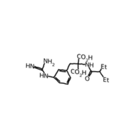 CCC(CC)C(=O)NC(Cc1cccc(NC(=N)N)c1)(C(=O)O)C(=O)O